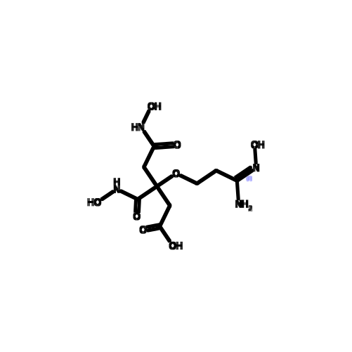 N/C(CCOC(CC(=O)O)(CC(=O)NO)C(=O)NO)=N/O